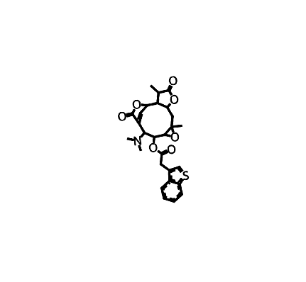 CC1C(=O)OC2CC3(C)OC3C(OC(=O)Cc3csc4ccccc34)C(N(C)C)C3=CC(OC3=O)C21